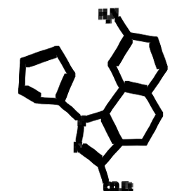 CCOC(=O)c1nn(-c2ccccc2)c2c1CCc1ccc(N)cc1-2